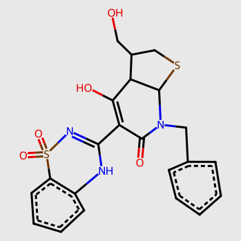 O=C1C(C2=NS(=O)(=O)c3ccccc3N2)=C(O)C2C(CO)CSC2N1Cc1ccccc1